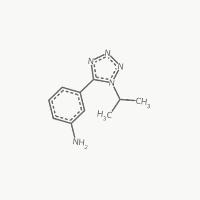 CC(C)n1nnnc1-c1cccc(N)c1